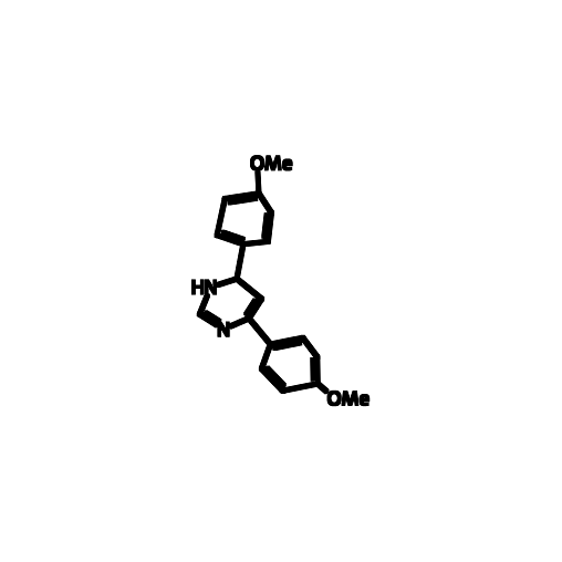 COc1ccc(C2=CC(c3ccc(OC)cc3)NC=N2)cc1